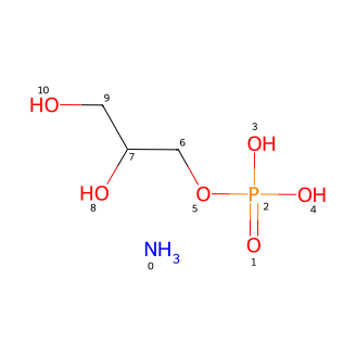 N.O=P(O)(O)OCC(O)CO